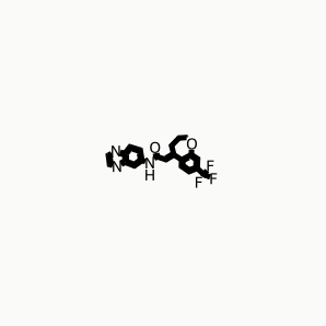 O=C(C=C1CCCOc2cc(C(F)(F)F)ccc21)Nc1ccc2nccnc2c1